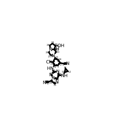 N#Cc1cc(Nc2nc(NC3CC3)c3ncc(C#N)n3n2)c(Cl)c(N2CCN3CC[C@@H](O)[C@@H]3C2)c1